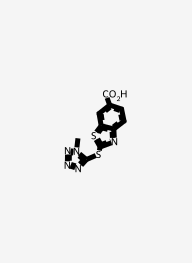 Cn1nnnc1Sc1nc2ccc(C(=O)O)cc2s1